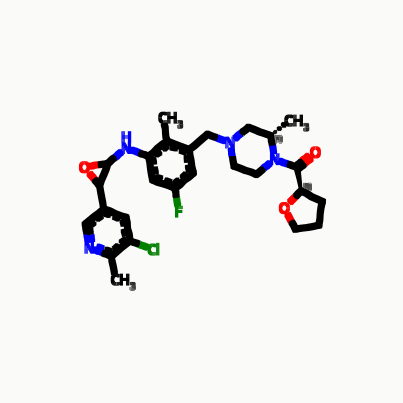 Cc1ncc(C2OC2Nc2cc(F)cc(CN3CCN(C(=O)[C@H]4CCCO4)[C@@H](C)C3)c2C)cc1Cl